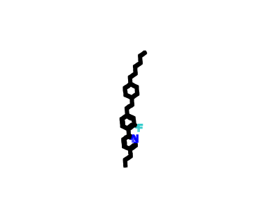 CCCCCCC1CCC(CCc2ccc(-c3ccc(CCC)cn3)c(F)c2)CC1